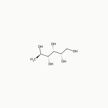 C[C@@H](O)[C@@H](O)[C@H](O)[C@@H](O)[CH]O